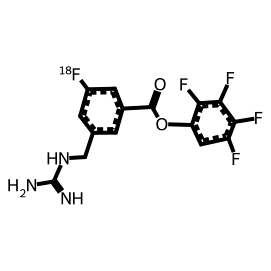 N=C(N)NCc1cc([18F])cc(C(=O)Oc2cc(F)c(F)c(F)c2F)c1